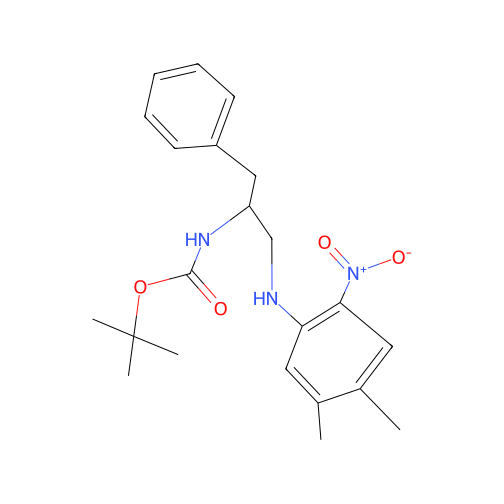 Cc1cc(NCC(Cc2ccccc2)NC(=O)OC(C)(C)C)c([N+](=O)[O-])cc1C